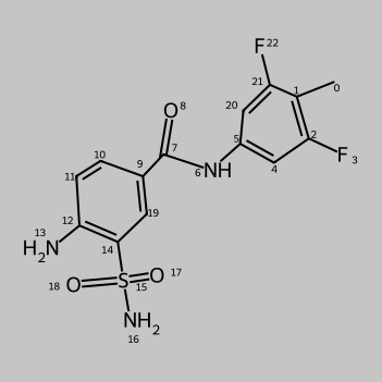 Cc1c(F)cc(NC(=O)c2ccc(N)c(S(N)(=O)=O)c2)cc1F